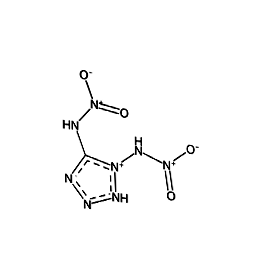 O=[N+]([O-])Nc1nn[nH][n+]1N[N+](=O)[O-]